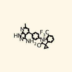 Cc1cc(-c2ccc(NC(=O)C3(c4cccc(C(F)(F)F)c4)CC3)cc2)c2c(N)n[nH]c2n1